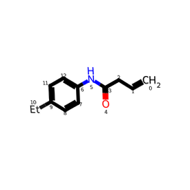 C=CCC(=O)Nc1ccc(CC)cc1